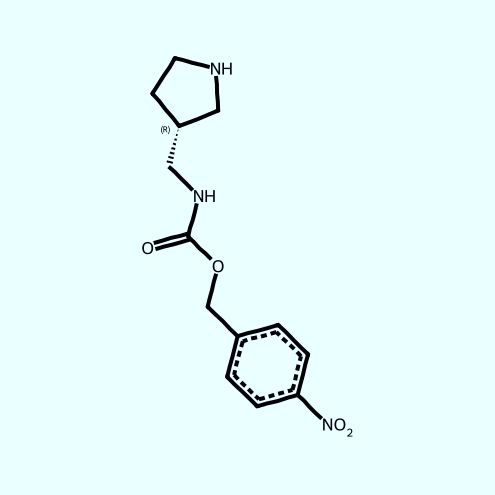 O=C(NC[C@@H]1CCNC1)OCc1ccc([N+](=O)[O-])cc1